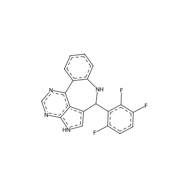 Fc1ccc(F)c(C2Nc3ccccc3-c3ncnc4[nH]cc2c34)c1F